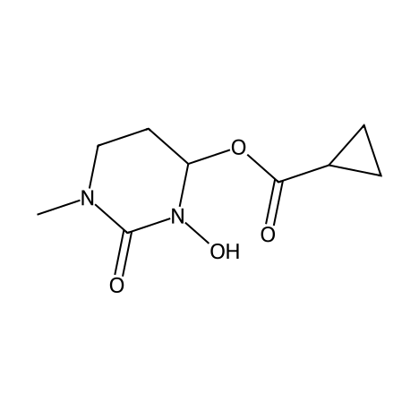 CN1CCC(OC(=O)C2CC2)N(O)C1=O